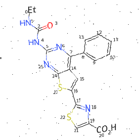 CCNC(=O)Nc1nc(-c2ccccc2)c2cc(-c3nc(C(=O)O)cs3)sc2n1